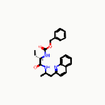 CC[C@H](NC(=O)OCc1ccccc1)C(=O)NC(C)Cc1ccc2ccccc2n1